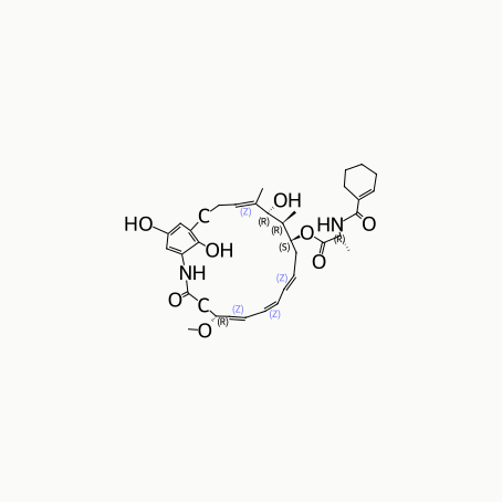 CO[C@H]1\C=C/C=C\C=C/C[C@H](OC(=O)[C@@H](C)NC(=O)C2=CCCCC2)[C@H](C)[C@@H](O)/C(C)=C\CCc2cc(O)cc(c2O)NC(=O)C1